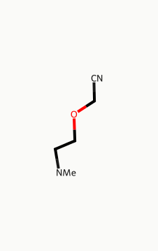 CNCCOCC#N